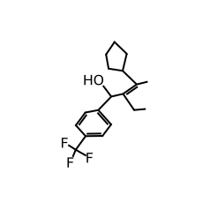 CC/C(=C(\C)C1CCCC1)C(O)c1ccc(C(F)(F)F)cc1